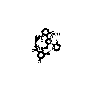 O=C(NCC1CC1)c1cc(Cl)cc(Br)c1NC(=O)C1CC(c2c([N+](=O)[O-])cccc2S(=O)(=O)O)=NN1c1ncccc1Cl